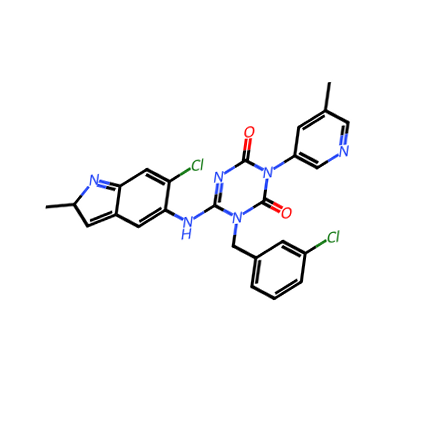 Cc1cncc(-n2c(=O)nc(Nc3cc4c(cc3Cl)=NC(C)C=4)n(Cc3cccc(Cl)c3)c2=O)c1